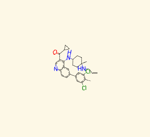 C=CCNC1(C)CCC(Nc2c(C(=O)C3CC3)cnc3ccc(-c4cc(Cl)c(C)c(Cl)c4)cc23)CC1